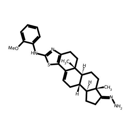 COc1ccccc1Nc1nc2c(s1)C1=CC[C@@H]3[C@H](CC[C@]4(C)/C(=N/N)CC[C@@H]34)[C@@]1(C)CC2